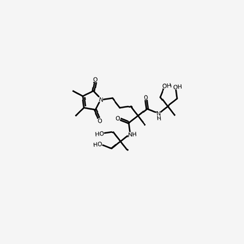 CC1=C(C)C(=O)N(CCCC(C)(C(=O)NC(C)(CO)CO)C(=O)NC(C)(CO)CO)C1=O